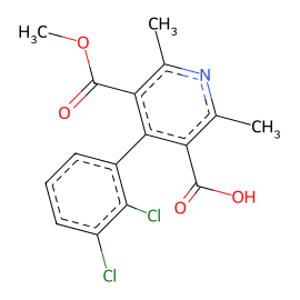 COC(=O)c1c(C)nc(C)c(C(=O)O)c1-c1cccc(Cl)c1Cl